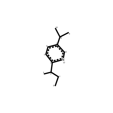 CCC(C)c1ccc(C(C)C)cn1